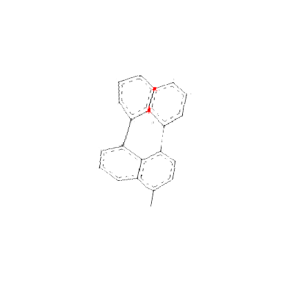 Brc1ccc(-c2ccccc2)c2c(-c3ccccc3)cccc12